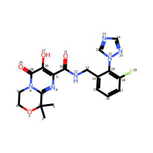 CC1(C)OCCn2c1nc(C(=O)NCc1cccc(F)c1-n1cncn1)c(O)c2=O